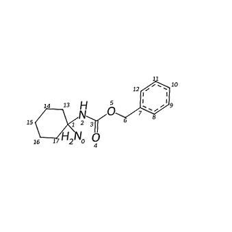 NC1(NC(=O)OCc2ccccc2)CCCCC1